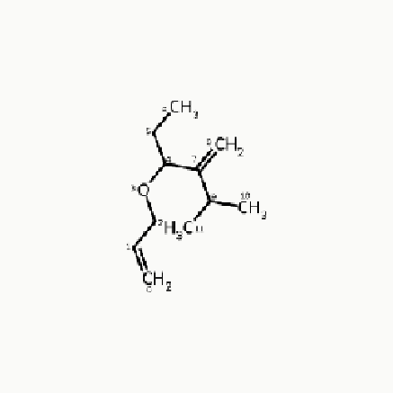 C=CCOC(CC)C(=C)C(C)C